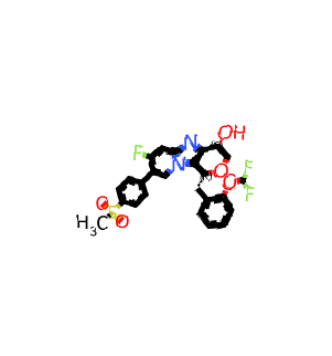 CS(=O)(=O)c1ccc(-c2cn3c4c(nc3cc2F)[C@H](O)CO[C@@H]4Cc2ccccc2OC(F)F)cc1